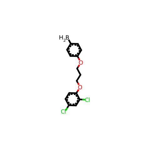 Bc1ccc(OCCCOc2ccc(Cl)cc2Cl)cc1